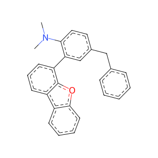 CN(C)c1ccc(Cc2ccccc2)cc1-c1cccc2c1oc1ccccc12